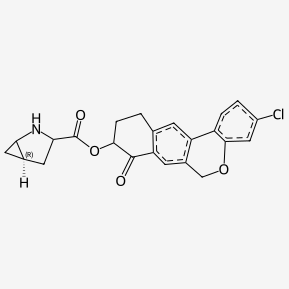 O=C(OC1CCc2cc3c(cc2C1=O)COc1cc(Cl)ccc1-3)C1C[C@H]2CC2N1